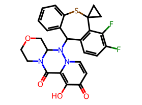 O=C1c2c(O)c(=O)ccn2N(C2c3ccccc3SC3(CC3)c3c2ccc(F)c3F)C2COCCN12